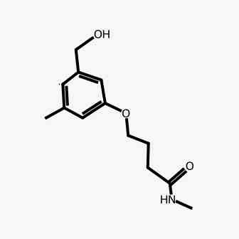 CNC(=O)CCCOc1cc(C)[c]c(CO)c1